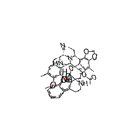 CC[C@H]1c2c3c(c(C)c(OC(C)=O)c2[C@]2(OC(=O)[C@]4(CS2)NCCc2c4[nH]c4ccccc24)C2C4NC(Cc5cc(C)c(OC)c(O)c54)[C@H](C#N)N21)OCO3